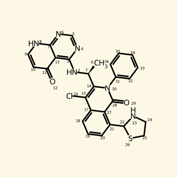 C[C@H](Nc1ncnc2[nH]ccc(=O)c12)c1c(Cl)c2cccc(C3NCCS3)c2c(=O)n1-c1ccccc1